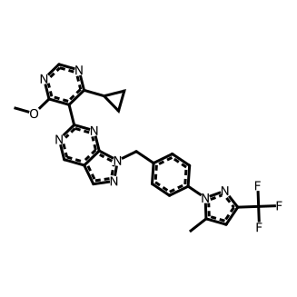 COc1ncnc(C2CC2)c1-c1ncc2cnn(Cc3ccc(-n4nc(C(F)(F)F)cc4C)cc3)c2n1